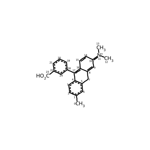 Cc1ccc2c(c1)CC1=CC(=[N+](C)C)C=CC1=C2c1cccc(C(=O)O)c1